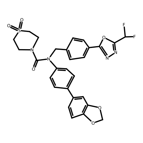 O=C(N1CCS(=O)(=O)CC1)N(Cc1ccc(-c2nnc(C(F)F)o2)cc1)c1ccc(-c2ccc3c(c2)OCO3)cc1